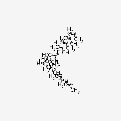 C=C.C=C.C=C.C=C.C=C(F)F.C=CC.C=CC.C=CC.C=CC.C=CC.C=CC